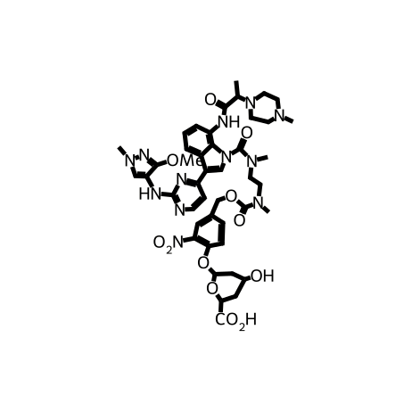 COc1nn(C)cc1Nc1nccc(-c2cn(C(=O)N(C)CCN(C)C(=O)OCc3ccc(OC4CC(O)CC(C(=O)O)O4)c([N+](=O)[O-])c3)c3c(NC(=O)C(C)N4CCN(C)CC4)cccc23)n1